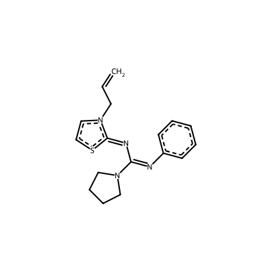 C=CCn1ccsc1=NC(=Nc1ccccc1)N1CCCC1